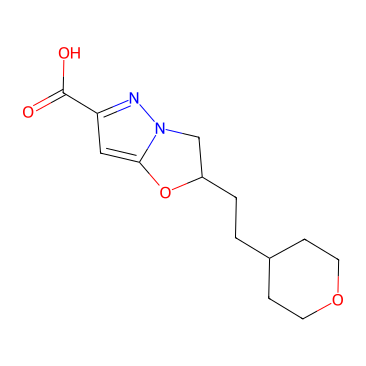 O=C(O)c1cc2n(n1)CC(CCC1CCOCC1)O2